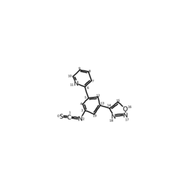 S=C=Nc1cc(-c2ccccn2)cc(-c2conn2)c1